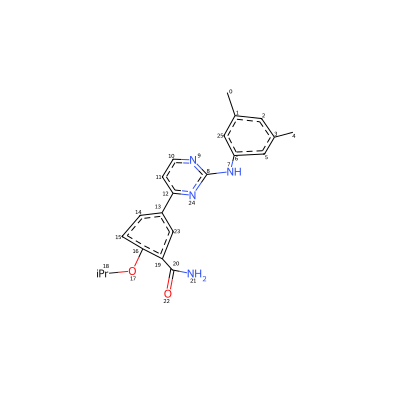 Cc1cc(C)cc(Nc2nccc(-c3ccc(OC(C)C)c(C(N)=O)c3)n2)c1